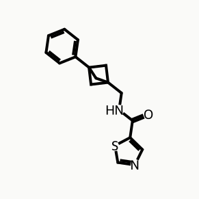 O=C(NCC12CC(c3ccccc3)(C1)C2)c1cncs1